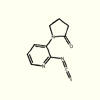 O=C1CCCN1c1cccnc1N=C=S